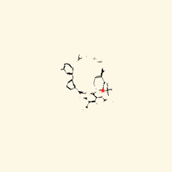 COC(=O)[C@@H](OC(C)(C)C)c1c(C)c(C#N)c2nc3cn2c1N1CCC(C)(CC1)OCCCC[C@H](C)Oc1ccc(F)cc1-c1cccc-3c1